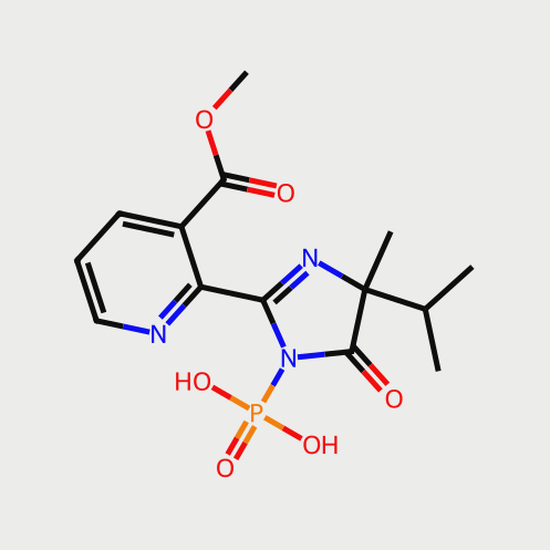 COC(=O)c1cccnc1C1=NC(C)(C(C)C)C(=O)N1P(=O)(O)O